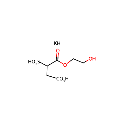 O=C(O)CC(C(=O)OCCO)S(=O)(=O)O.[KH]